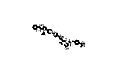 Cc1ncsc1-c1ccc(CNC(=O)[C@@H]2C[C@@H](O)CN2C(=O)[C@@H](c2cc(-c3cnc(N4CCC(c5cc6nnc(-c7ccccc7O)cc6n5C5CC5)CC4)nc3)no2)C(C)C)cc1